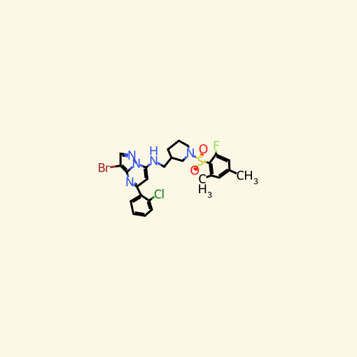 Cc1cc(C)c(S(=O)(=O)N2CCCC(CNc3cc(-c4ccccc4Cl)nc4c(Br)cnn34)C2)c(F)c1